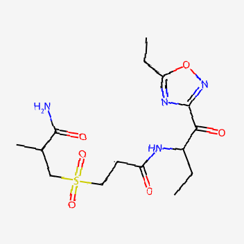 CCc1nc(C(=O)C(CC)NC(=O)[CH]CS(=O)(=O)CC(C)C(N)=O)no1